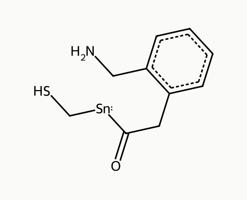 NCc1ccccc1C[C](=O)[Sn][CH2]S